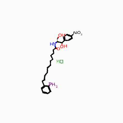 Cl.O=C(CCCCCCCCCCCc1ccccc1P)N[C@H](CO)[C@H](O)c1ccc([N+](=O)[O-])cc1